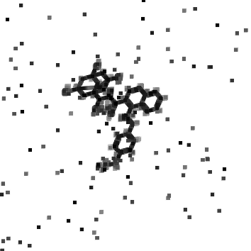 O=C(NC(C(=O)O)C12CC3(Cl)CC(Cl)(CC(Cl)(C3)C1)C2)c1ccc2ccccc2c1NCc1ccc(SC(F)(F)F)cc1